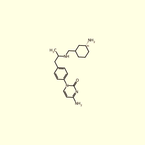 CC(Cc1ccc(-n2ccc(N)nc2=O)cc1)NCC1CCC[C@@H](N)C1